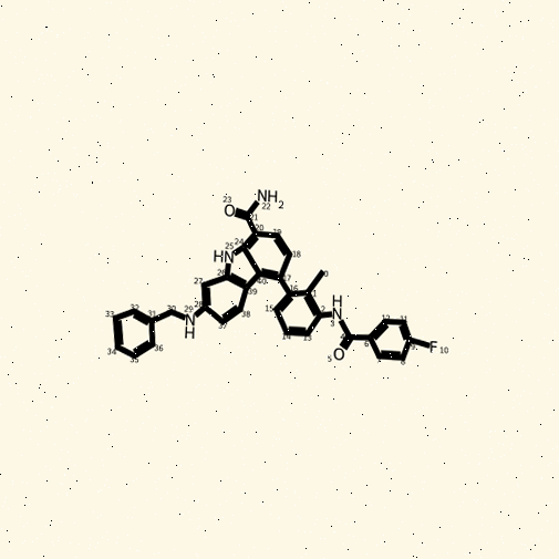 Cc1c(NC(=O)c2ccc(F)cc2)cccc1-c1ccc(C(N)=O)c2[nH]c3cc(NCc4ccccc4)ccc3c12